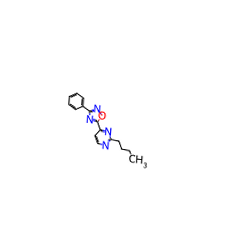 CCCCc1nccc(-c2nc(-c3ccccc3)no2)n1